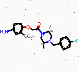 C[C@@H]1CN(Cc2ccc(F)cc2)[C@@H](C)CN1C(=O)COc1ccc(N)cc1C(=O)O